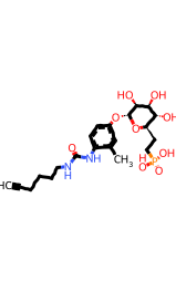 C#CCCCCNC(=O)Nc1ccc(O[C@H]2O[C@H](CCP(=O)(O)O)[C@@H](O)[C@H](O)[C@@H]2O)cc1C